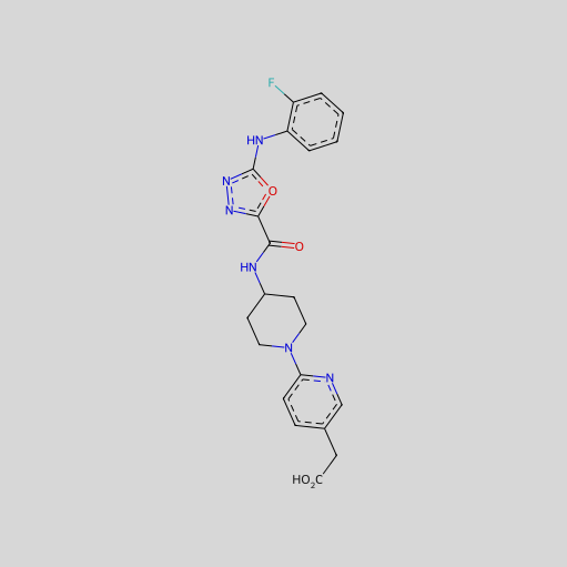 O=C(O)Cc1ccc(N2CCC(NC(=O)c3nnc(Nc4ccccc4F)o3)CC2)nc1